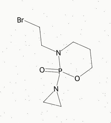 O=P1(N2CC2)OCCCN1CCBr